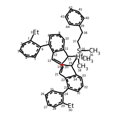 CCc1ccccc1-c1cccc2c1C=C[CH]2[Hf]([CH3])([CH3])([CH]1C=Cc2c(-c3ccccc3CC)cccc21)=[Si](C)CCc1ccccc1